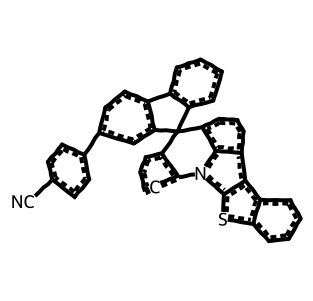 N#Cc1ccc(-c2ccc3c(c2)C2(c4ccccc4-3)c3ccccc3-n3c4sc5ccccc5c4c4cccc2c43)cc1